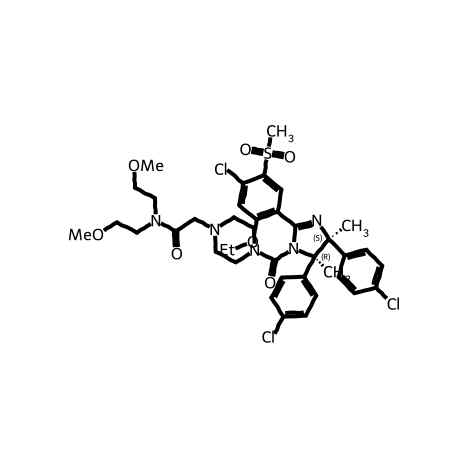 CCOc1cc(Cl)c(S(C)(=O)=O)cc1C1=N[C@@](C)(c2ccc(Cl)cc2)[C@@](C)(c2ccc(Cl)cc2)N1C(=O)N1CCN(CC(=O)N(CCOC)CCOC)CC1